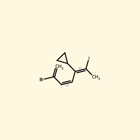 C=C(Br)/C=C\C(=C(/C)I)C1CC1